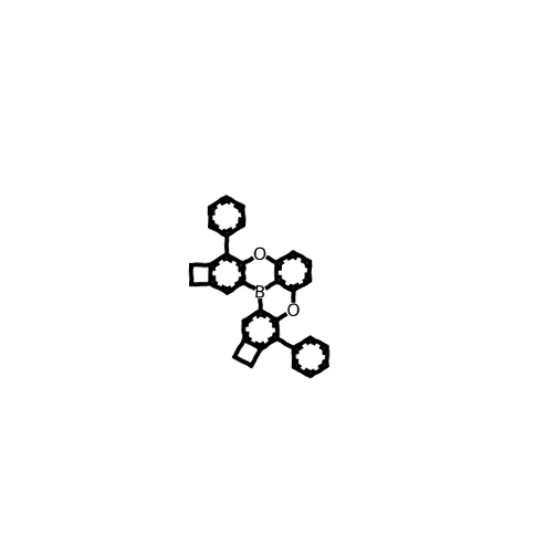 c1ccc(-c2c3c(cc4c2Oc2cccc5c2B4c2cc4c(c(-c6ccccc6)c2O5)CC4)CC3)cc1